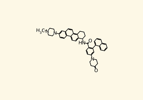 CN1CCN(c2ccc3c(ccc4c5c(ccc43)[C@H](NC(=O)c3ccc(N4CCC(=O)CC4)cc3-c3cccc4ccccc34)CCC5)c2)CC1